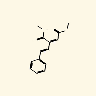 COC(=O)/C=C(/C=C/c1ccccc1)C(=O)OC